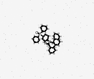 O=P(c1ccccc1)(c1ccccc1)c1ccc2c(c1)nc1c3ccccc3c3ccc4ccccc4c3n21